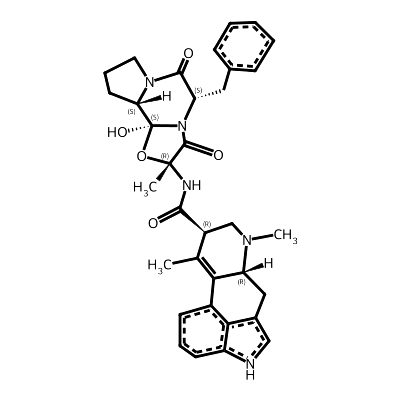 CC1=C2c3cccc4[nH]cc(c34)C[C@H]2N(C)C[C@@H]1C(=O)N[C@]1(C)O[C@@]2(O)[C@@H]3CCCN3C(=O)[C@H](Cc3ccccc3)N2C1=O